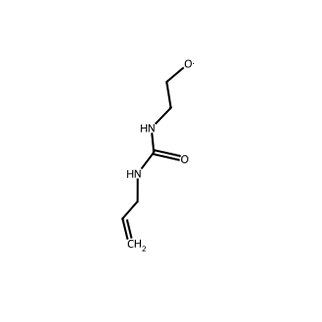 C=CCNC(=O)NCC[O]